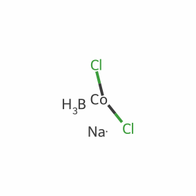 B.[Cl][Co][Cl].[Na]